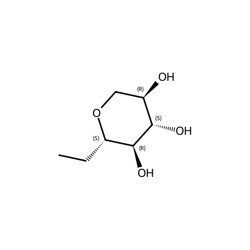 CC[C@@H]1OC[C@@H](O)[C@H](O)[C@H]1O